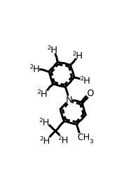 [2H]c1c([2H])c([2H])c(-n2cc(C([2H])([2H])[2H])c(C)cc2=O)c([2H])c1[2H]